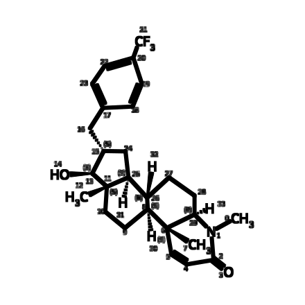 CN1C(=O)C=C[C@]2(C)[C@H]3CC[C@]4(C)[C@@H](O)[C@H](Cc5ccc(C(F)(F)F)cc5)C[C@H]4[C@@H]3CC[C@@H]12